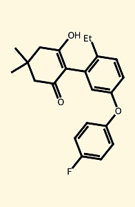 CCc1ccc(Oc2ccc(F)cc2)cc1C1=C(O)CC(C)(C)CC1=O